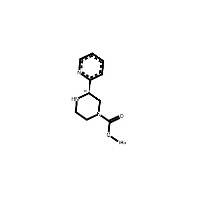 CC(C)(C)OC(=O)N1CCN[C@@H](c2ccccn2)C1